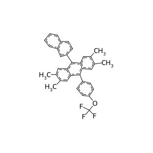 Cc1cc2c(-c3ccc(OC(F)(F)F)cc3)c3cc(C)c(C)cc3c(-c3ccc4ccccc4c3)c2cc1C